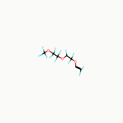 FC(F)=COC(F)(F)C(F)OC(F)(F)C(F)(F)OC(F)(F)F